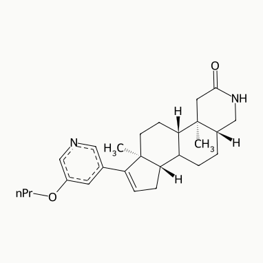 CCCOc1cncc(C2=CC[C@H]3C4CC[C@H]5CNC(=O)C[C@]5(C)[C@H]4CC[C@]23C)c1